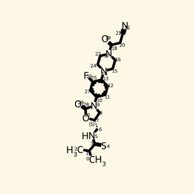 CC(C)C(=S)NC[C@H]1CN(c2ccc(N3CCN(C(=O)CC#N)CC3)c(F)c2)C(=O)O1